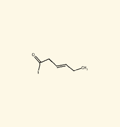 CCC=CCC(=O)I